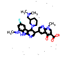 CNc1cc(F)cc2c1[nH]c1ncc(-c3cnc4c(c3)c(=O)c(C(=O)O)cn4C)c(N3CCCC(CN(C)C)C3)c12